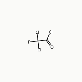 O=C(Cl)C(F)(Cl)Cl